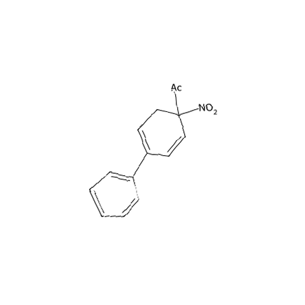 CC(=O)C1([N+](=O)[O-])C=CC(c2ccccc2)=CC1